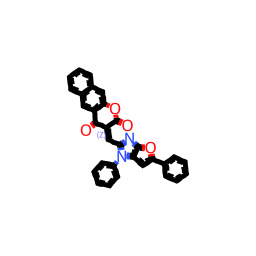 O=C1Oc2cc3ccccc3cc2C(=O)/C1=C/c1nc2oc(-c3ccccc3)cc2n1-c1ccccc1